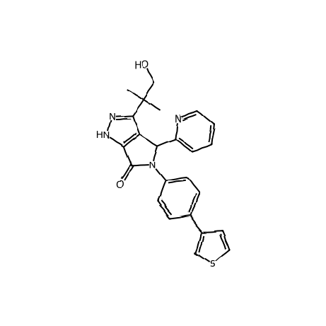 CC(C)(CO)c1n[nH]c2c1C(c1ccccn1)N(c1ccc(-c3ccsc3)cc1)C2=O